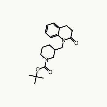 CC(C)(C)OC(=O)N1CCCC(CN2C(=O)CCc3ccccc32)C1